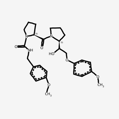 COc1ccc(CNC(=O)N2CCC[C@H]2C(=O)N2CCC[C@H]2C(O)COc2ccc(OC)cc2)cc1